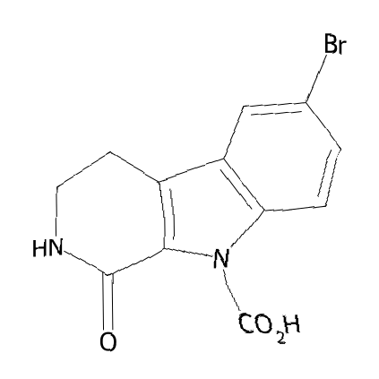 O=C1NCCc2c1n(C(=O)O)c1ccc(Br)cc21